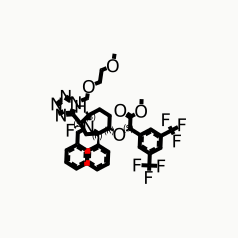 COCCOCn1nnnc1[C@]1(F)C[C@@]2(c3ccccc3)[C@H](O[C@H](C(=O)OC)c3cc(C(F)(F)F)cc(C(F)(F)F)c3)CC[C@@H]1N2Cc1ccccc1